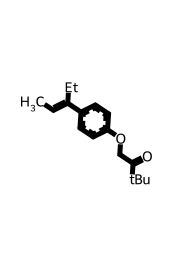 CC=C(CC)c1ccc(OCC(=O)C(C)(C)C)cc1